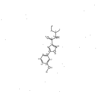 CCC(C)NC(=O)c1cc(-c2cccc(OC)c2)on1